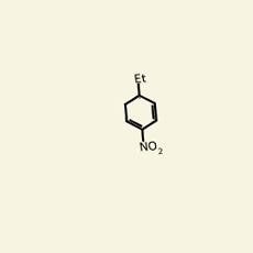 CC[C]1C=CC([N+](=O)[O-])=CC1